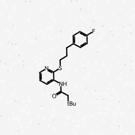 CC(C)(C)CC(=O)Nc1cccnc1SCCCc1ccc(F)cc1